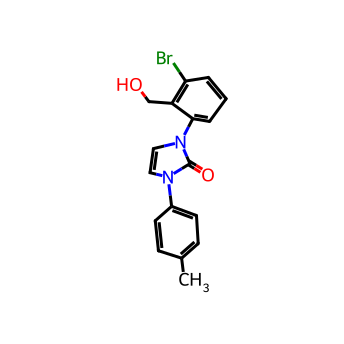 Cc1ccc(-n2ccn(-c3cccc(Br)c3CO)c2=O)cc1